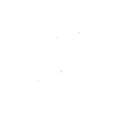 CC(C)(C)OC(=O)NC1Cc2cc(Br)cnc2NC1=O